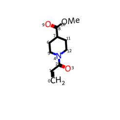 C=CC(=O)N1CCC(C(=O)OC)CC1